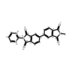 CN1C(=O)c2ccc(-c3ccc4c(c3)C(=O)N(c3ncccn3)C4=O)cc2C1=O